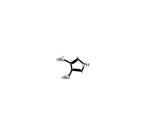 CCCCc1[c][pH]cc1CCCC